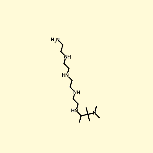 CC(NCCNCCNCCNCCN)C(C)(C)N(C)C